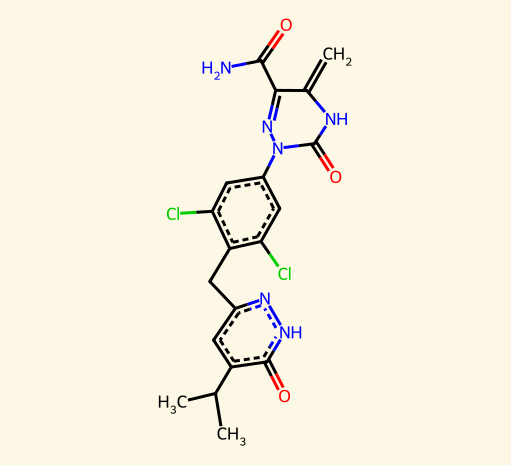 C=C1NC(=O)N(c2cc(Cl)c(Cc3cc(C(C)C)c(=O)[nH]n3)c(Cl)c2)N=C1C(N)=O